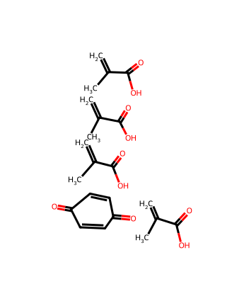 C=C(C)C(=O)O.C=C(C)C(=O)O.C=C(C)C(=O)O.C=C(C)C(=O)O.O=C1C=CC(=O)C=C1